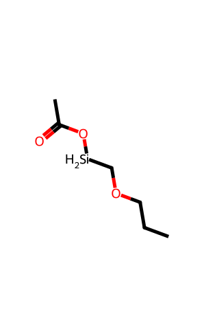 CCCOC[SiH2]OC(C)=O